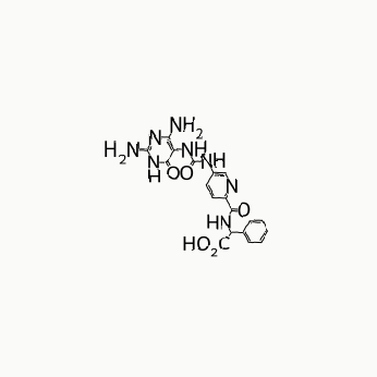 Nc1nc(N)c(NC(=O)Nc2ccc(C(=O)NC(C(=O)O)c3ccccc3)nc2)c(=O)[nH]1